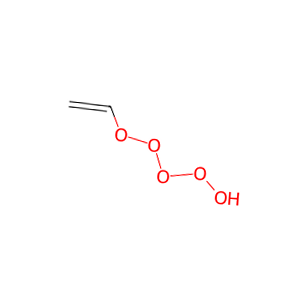 C=COOOOO